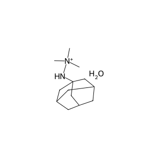 C[N+](C)(C)NC12CC3CC(CC(C3)C1)C2.O